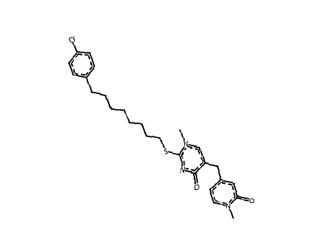 Cn1cc(Cc2ccn(C)c(=O)c2)c(=O)nc1SCCCCCCCCc1ccc(Cl)cc1